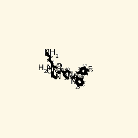 CN(c1nccc(=O)n1C(=O)C(N)CCCCN)C1CCN(c2nc3ccccc3n2Cc2ccc(F)cc2)CC1